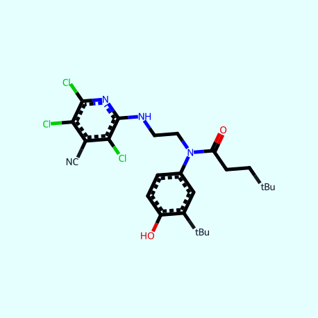 CC(C)(C)CCC(=O)N(CCNc1nc(Cl)c(Cl)c(C#N)c1Cl)c1ccc(O)c(C(C)(C)C)c1